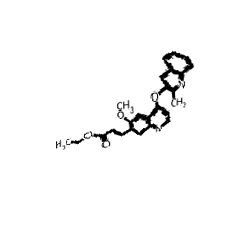 CCOC(=O)/C=C/c1cc2nccc(Oc3cc4ccccc4nc3C)c2cc1OC